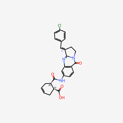 O=C(O)[C@H]1CC=CC[C@H]1C(=O)Nc1ccc2c(=O)n3c(nc2c1)/C(=C/c1ccc(Cl)cc1)CC3